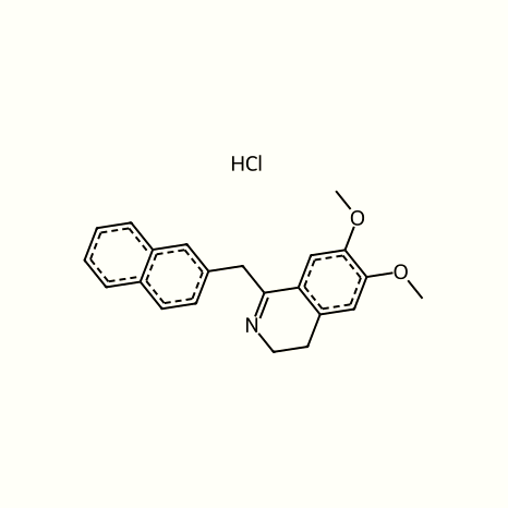 COc1cc2c(cc1OC)C(Cc1ccc3ccccc3c1)=NCC2.Cl